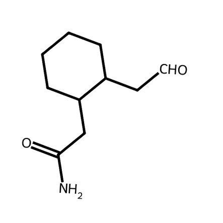 NC(=O)CC1CCCCC1CC=O